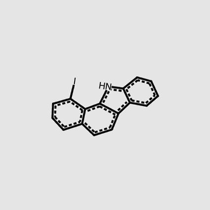 Ic1cccc2ccc3c4ccccc4[nH]c3c12